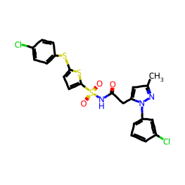 Cc1cc(CC(=O)NS(=O)(=O)c2ccc(Sc3ccc(Cl)cc3)s2)n(-c2cccc(Cl)c2)n1